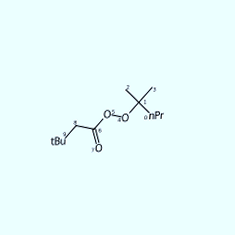 CCCC(C)(C)OOC(=O)CC(C)(C)C